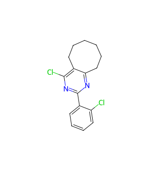 Clc1ccccc1-c1nc(Cl)c2c(n1)CCCCCC2